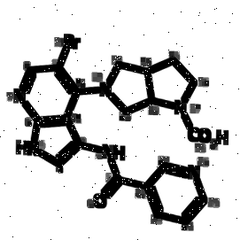 O=C(Nc1c[nH]c2ncc(Br)c(N3CC4CCN(C(=O)O)C4C3)c12)c1cccnc1